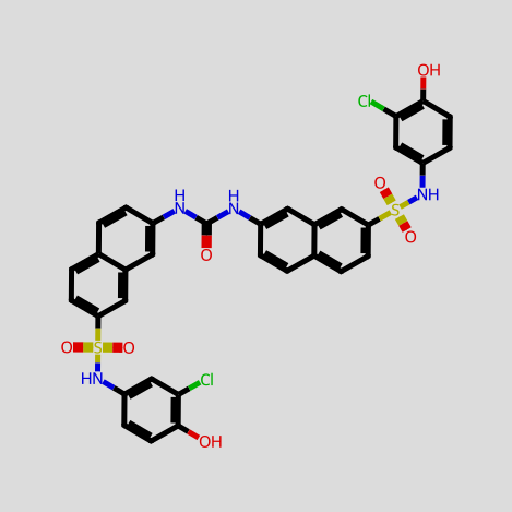 O=C(Nc1ccc2ccc(S(=O)(=O)Nc3ccc(O)c(Cl)c3)cc2c1)Nc1ccc2ccc(S(=O)(=O)Nc3ccc(O)c(Cl)c3)cc2c1